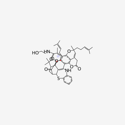 CC(C)=CCCC1(C)C=C2CC(=O)Oc3c2c(c(CC=C(C)C)c2c3C3=C4C(Sc5ccccc5N3)C3CC5C(C)(C)OC(C/C=C(/C)C(=O)NCCO)(C3=O)C45O2)O1